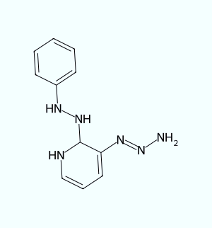 NN=NC1=CC=CNC1NNc1ccccc1